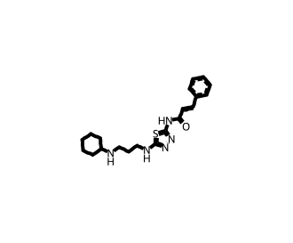 O=C(C=Cc1ccccc1)Nc1nnc(NCCCNC2CCCCC2)s1